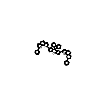 C1=CCC(C2(c3ccccc3)c3cc(-c4ccc5ccc6ccc(-c7ccccc7)nc6c5n4)ccc3Oc3ccc(-c4ccc5ccc6ccc(-c7ccccc7)nc6c5n4)cc32)C=C1